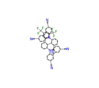 N#Cc1ccc2c(c1)c1cc(C#N)ccc1n2-c1cccc(C#N)c1-c1c(-c2cc(C(F)(F)F)cc(C(F)(F)F)c2)cccc1-n1c2ccc(C#N)cc2c2cc(C#N)ccc21